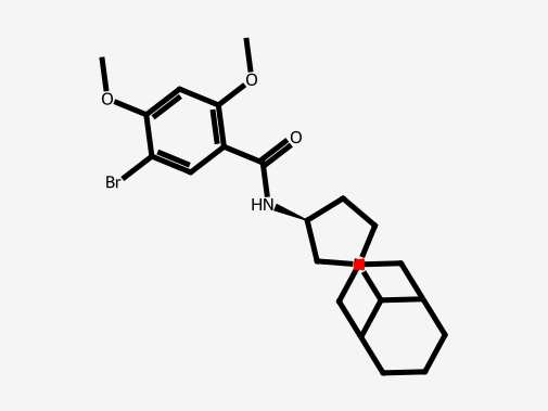 COc1cc(OC)c(C(=O)N[C@H]2CCN(C3C4CCCC3CCC4)C2)cc1Br